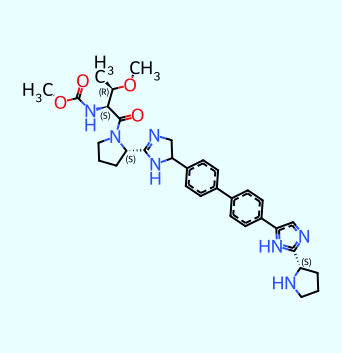 COC(=O)N[C@H](C(=O)N1CCC[C@H]1C1=NCC(c2ccc(-c3ccc(-c4cnc([C@@H]5CCCN5)[nH]4)cc3)cc2)N1)[C@@H](C)OC